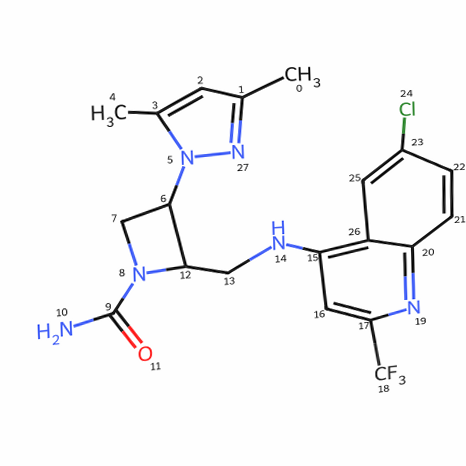 Cc1cc(C)n(C2CN(C(N)=O)C2CNc2cc(C(F)(F)F)nc3ccc(Cl)cc23)n1